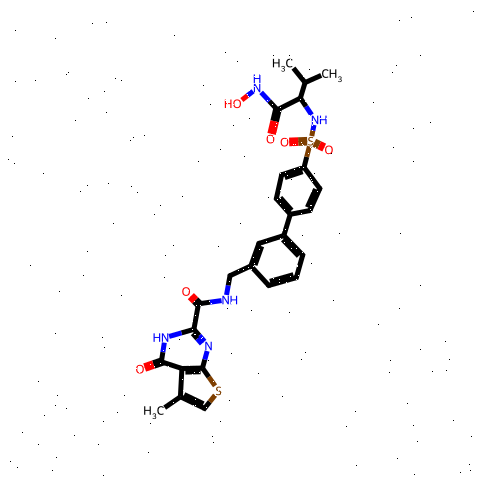 Cc1csc2nc(C(=O)NCc3cccc(-c4ccc(S(=O)(=O)NC(C(=O)NO)C(C)C)cc4)c3)[nH]c(=O)c12